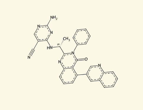 C[C@@H](Nc1nc(N)ncc1C#N)c1nc2cccc(-c3cnc4ccccc4c3)c2c(=O)n1-c1ccccc1